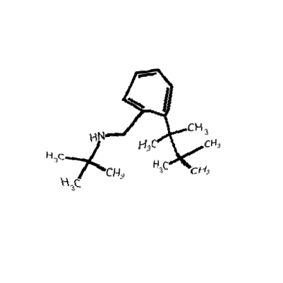 CC(C)(C)NCc1ccccc1C(C)(C)C(C)(C)C